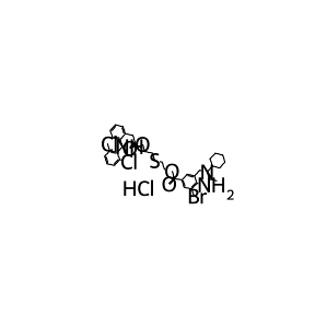 CCN(Cc1cc(C(=O)OCCSCCOC(=O)Cc2ccccc2Nc2c(Cl)cccc2Cl)cc(Br)c1N)C1CCCCC1.Cl